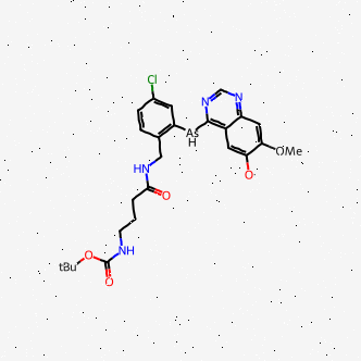 COc1cc2ncnc([AsH]c3cc(Cl)ccc3CNC(=O)CCCNC(=O)OC(C)(C)C)c2cc1[O]